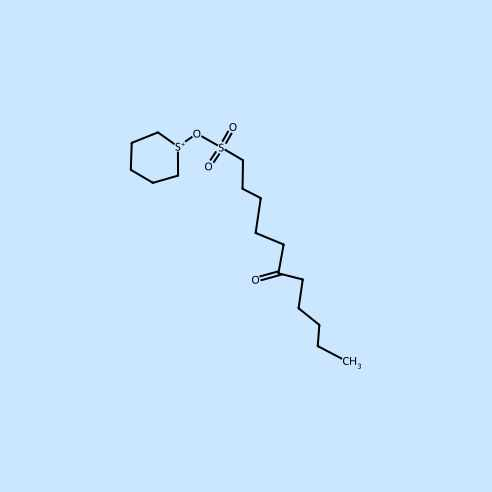 CCCCCC(=O)CCCCCS(=O)(=O)O[S+]1CCCCC1